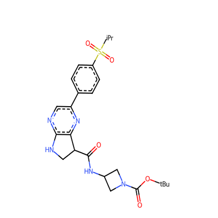 CC(C)S(=O)(=O)c1ccc(-c2cnc3c(n2)C(C(=O)NC2CN(C(=O)OC(C)(C)C)C2)CN3)cc1